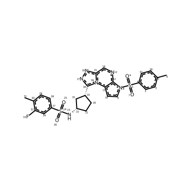 Cc1ccc(S(=O)(=O)n2ccc3c2ncc2nnc([C@@H]4CC[C@H](NS(=O)(=O)c5ccc(C)c(F)c5)C4)n23)cc1